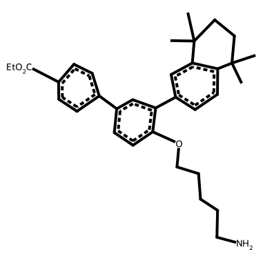 CCOC(=O)c1ccc(-c2ccc(OCCCCCN)c(-c3ccc4c(c3)C(C)(C)CCC4(C)C)c2)cc1